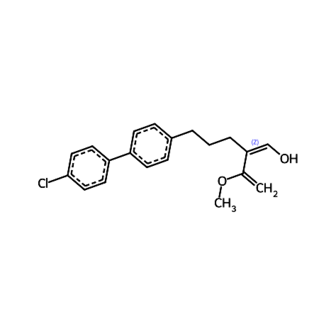 C=C(OC)/C(=C\O)CCCc1ccc(-c2ccc(Cl)cc2)cc1